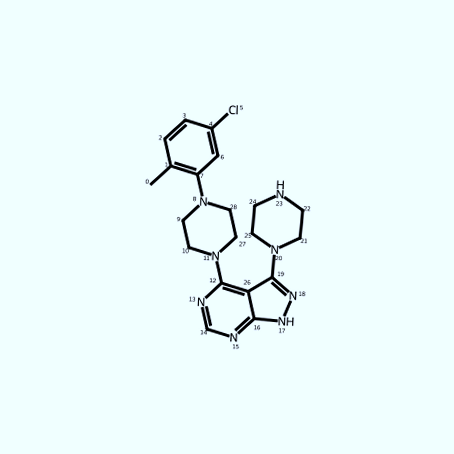 Cc1ccc(Cl)cc1N1CCN(c2ncnc3[nH]nc(N4CCNCC4)c23)CC1